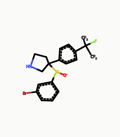 [O-][S+](c1cccc(Br)c1)C1(c2ccc(C(F)(C(F)(F)F)C(F)(F)F)cc2)CCNC1